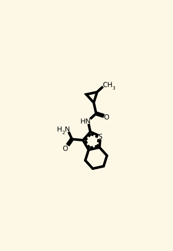 CC1CC1C(=O)Nc1sc2c(c1C(N)=O)CCCC2